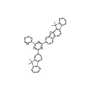 CC1(C)c2ccccc2-c2ccc(-c3nc(-c4ccc5c(c4)oc4c6c(ccc45)-c4ccccc4C6(C)C)nc(-c4ccccn4)n3)cc21